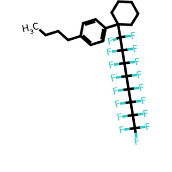 CCCCc1ccc(C2(C(F)(F)C(F)(F)C(F)(F)C(F)(F)C(F)(F)C(F)(F)C(F)(F)C(F)(F)F)CCCCC2)cc1